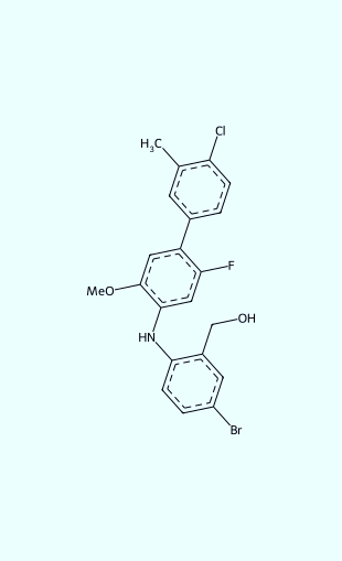 COc1cc(-c2ccc(Cl)c(C)c2)c(F)cc1Nc1ccc(Br)cc1CO